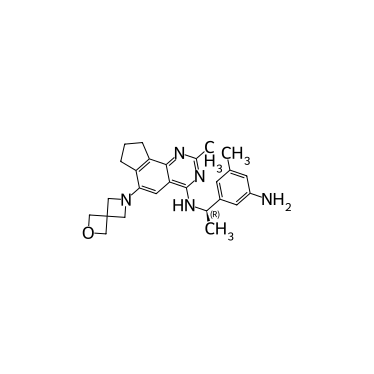 Cc1cc(N)cc([C@@H](C)Nc2nc(C)nc3c4c(c(N5CC6(COC6)C5)cc23)CCC4)c1